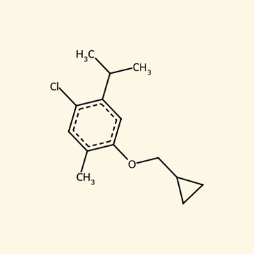 Cc1cc(Cl)c(C(C)C)cc1OCC1CC1